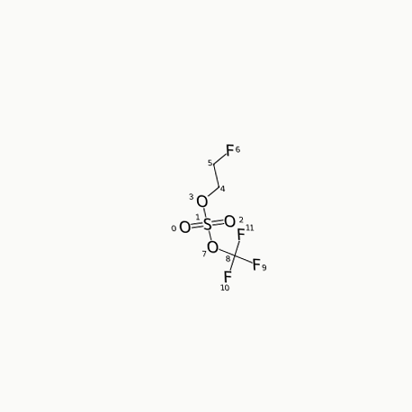 O=S(=O)(OCCF)OC(F)(F)F